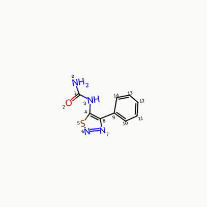 NC(=O)Nc1snnc1-c1ccccc1